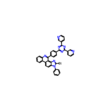 CCc1nc2c3c(-c4ccc(-c5nc(-c6cccnc6)nc(-c6cccnc6)n5)cc4)nc4ccccc4c3ccc2n1-c1ccccc1